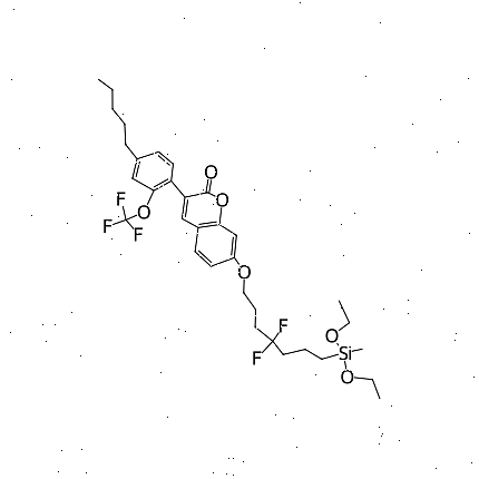 CCCCCc1ccc(-c2cc3ccc(OCCCC(F)(F)CCC[Si](C)(OCC)OCC)cc3oc2=O)c(OC(F)(F)F)c1